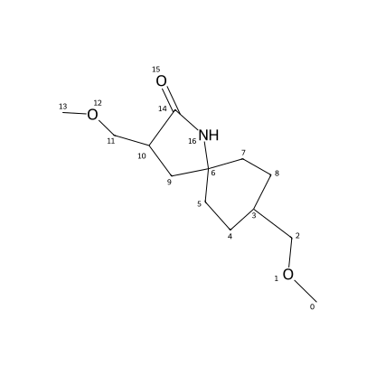 COCC1CCC2(CC1)CC(COC)C(=O)N2